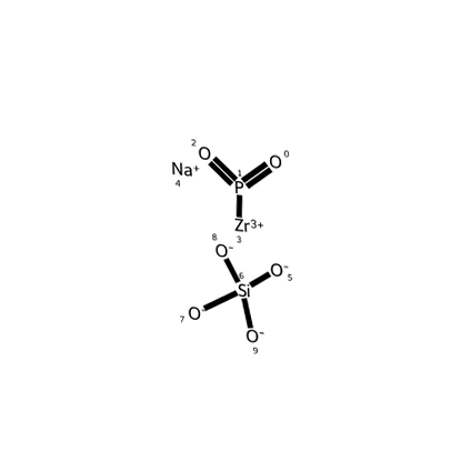 O=[P](=O)[Zr+3].[Na+].[O-][Si]([O-])([O-])[O-]